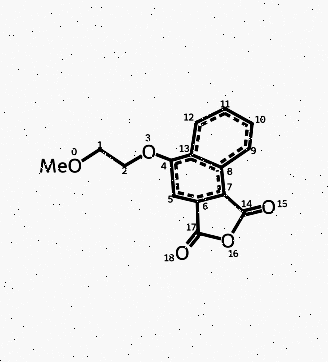 COCCOc1cc2c(c3ccccc13)C(=O)OC2=O